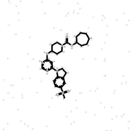 CS(=O)(=O)c1ccc2c(c1)CCN2c1cc(OC2CCN(C(=O)OC3CCCCCC3)CC2)ncn1